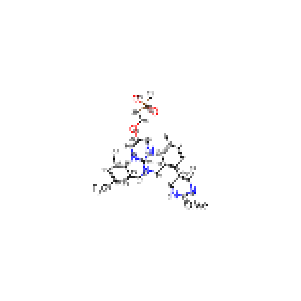 COc1ncc(-c2ccc(C)cc2CN(Cc2cc(C)cc(C(F)(F)F)c2)c2ncc(OCCS(C)(=O)=O)cn2)c(C)n1